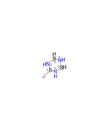 IB1NBNBN1